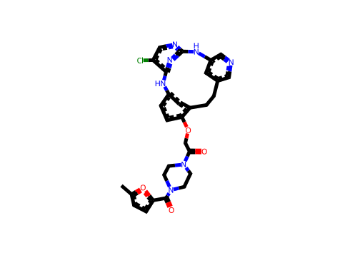 Cc1ccc(C(=O)N2CCN(C(=O)COc3ccc4cc3CCc3cncc(c3)Nc3ncc(Cl)c(n3)N4)CC2)o1